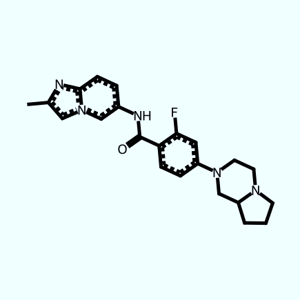 Cc1cn2cc(NC(=O)c3ccc(N4CCN5CCCC5C4)cc3F)ccc2n1